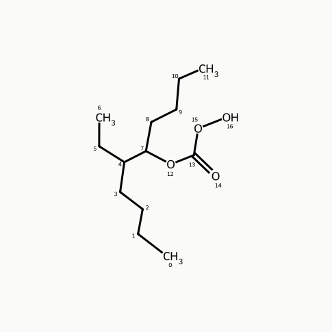 CCCCC(CC)C(CCCC)OC(=O)OO